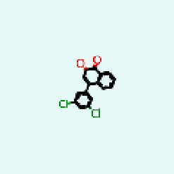 O=C1C=C(c2cc(Cl)cc(Cl)c2)c2ccccc2C1=O